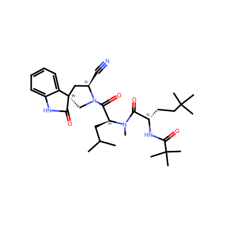 CC(C)C[C@@H](C(=O)N1C[C@]2(C[C@H]1C#N)C(=O)Nc1ccccc12)N(C)C(=O)[C@H](CCC(C)(C)C)NC(=O)C(C)(C)C